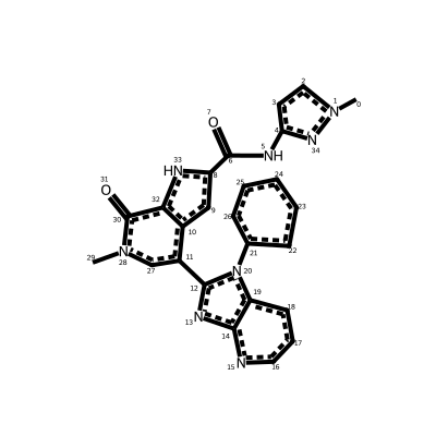 Cn1ccc(NC(=O)c2cc3c(-c4nc5ncccc5n4-c4ccccc4)cn(C)c(=O)c3[nH]2)n1